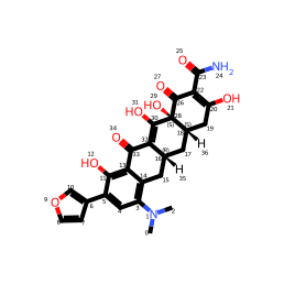 CN(C)c1cc(-c2ccoc2)c(O)c2c1C[C@H]1C[C@H]3CC(O)=C(C(N)=O)C(=O)[C@@]3(O)C(O)=C1C2=O